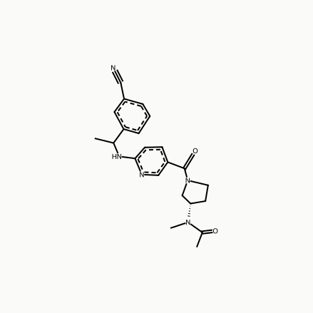 CC(=O)N(C)[C@H]1CCN(C(=O)c2ccc(NC(C)c3cccc(C#N)c3)nc2)C1